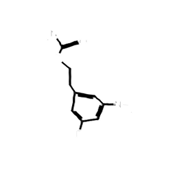 NC(=O)OCCc1cc(N)cc(F)c1